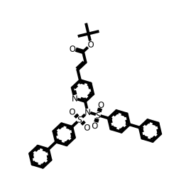 CC(C)(C)OC(=O)/C=C/c1ccc(N(S(=O)(=O)c2ccc(-c3ccccc3)cc2)S(=O)(=O)c2ccc(-c3ccccc3)cc2)nc1